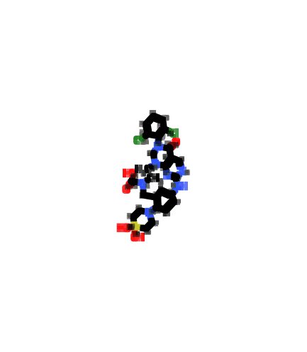 CN(Cc1cc(Nc2ncc3c(n2)N(C)CN(c2c(Cl)cccc2Cl)C3=O)ccc1N1CCS(O)(O)CC1)C(=O)O